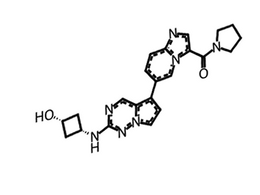 O=C(c1cnc2ccc(-c3ccn4nc(N[C@H]5C[C@@H](O)C5)ncc34)cn12)N1CCCC1